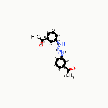 CC(=O)c1cccc(/N=N/Nc2cccc(C(C)=O)c2)c1